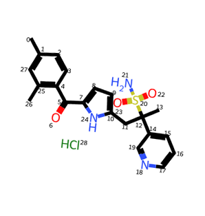 Cc1ccc(C(=O)c2ccc(CC(C)(c3cccnc3)S(N)(=O)=O)[nH]2)c(C)c1.Cl